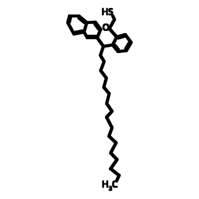 CCCCCCCCCCCCCCCCCC(c1ccc2ccccc2c1)c1ccccc1C(=O)CS